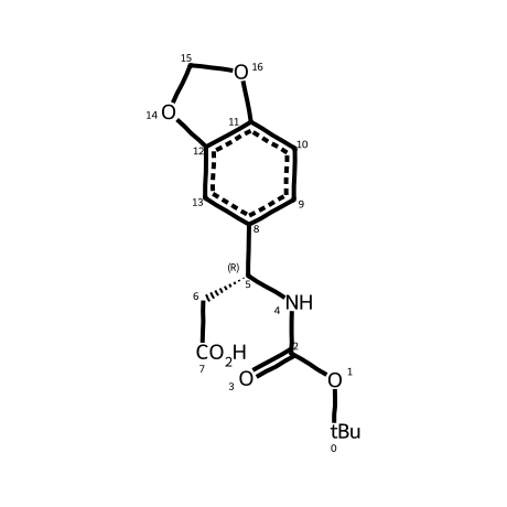 CC(C)(C)OC(=O)N[C@H](CC(=O)O)c1ccc2c(c1)OCO2